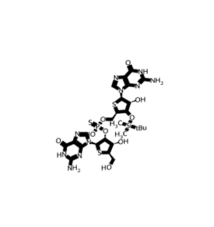 CC(C)(C)[Si](C)(C)OC1[C@@H](O)[C@H](n2cnc3c(=O)[nH]c(N)nc32)S[C@@H]1COP(O)(=S)O[C@@H]1[C@H](O)[C@@H](CO)S[C@H]1n1cnc2c(=O)[nH]c(N)nc21